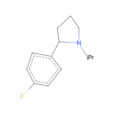 CC(C)N1CCCC1c1ccc(F)cc1